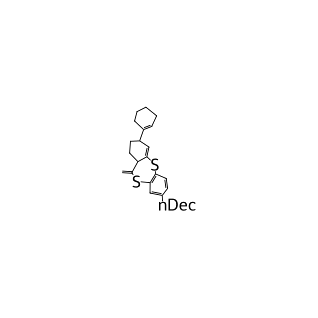 C=C1Sc2cc(CCCCCCCCCC)ccc2SC2=CC(C3=CCCCC3)CCC12